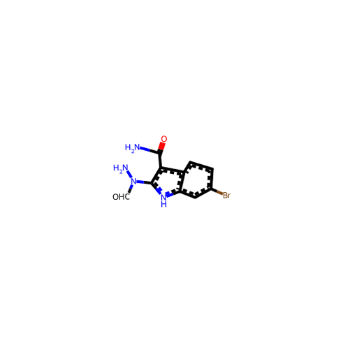 NC(=O)c1c(N(N)C=O)[nH]c2cc(Br)ccc12